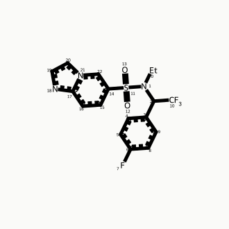 CCN(C(c1ccc(F)cc1)C(F)(F)F)S(=O)(=O)c1ccc2nccn2c1